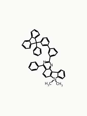 C[Si]1(C)c2ccccc2-c2c1ccc1c(-c3ccccc3)nc(-c3cccc(-c4cccc(C5(c6ccccc6)c6ccccc6-c6ccccc65)c4)c3)nc21